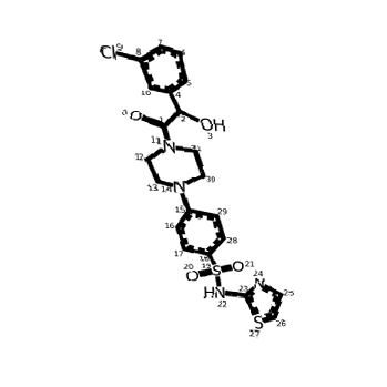 O=C(C(O)c1cccc(Cl)c1)N1CCN(c2ccc(S(=O)(=O)Nc3nccs3)cc2)CC1